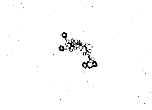 CC(C)(CCC(=O)NCCC(=O)N1Cc2ccccc2/C=C\c2ccccc21)OCCC(C)(C)N1C(=O)C(C(=O)OCc2ccccc2)=C(C(=O)OCc2ccccc2)C1=O